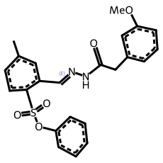 COc1cccc(CC(=O)N/N=C/c2cc(C)ccc2S(=O)(=O)Oc2ccccc2)c1